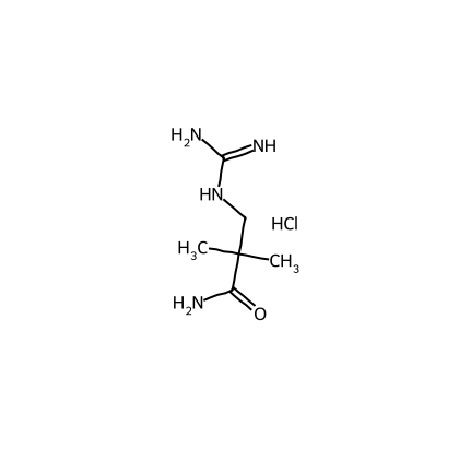 CC(C)(CNC(=N)N)C(N)=O.Cl